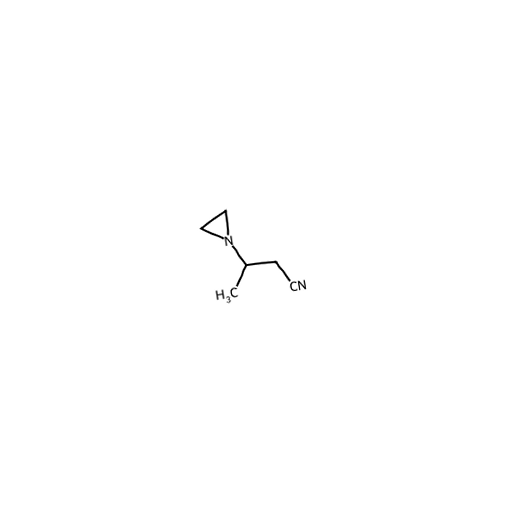 CC(CC#N)N1CC1